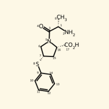 C[C@H](N)C(=O)N1C[C@@H](Sc2ccccc2)C[C@H]1C(=O)O